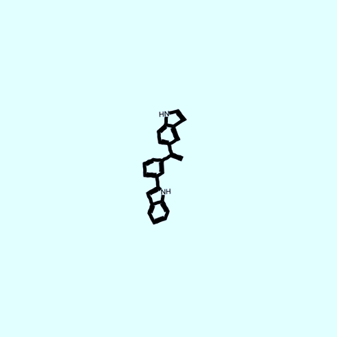 C=C(c1cccc(-c2cc3ccccc3[nH]2)c1)c1ccc2[nH]ccc2c1